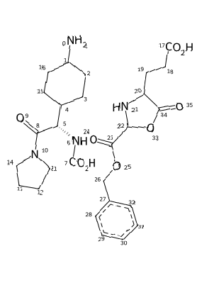 NC1CCC([C@H](NC(=O)O)C(=O)N2CCCC2)CC1.O=C(O)CCC1NC(C(=O)OCc2ccccc2)OC1=O